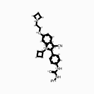 CC(C)NC(=O)Nc1ccc(-c2c(C#N)c3ccc(OCCN4CCC4)cc3n2C2CCC2)cc1